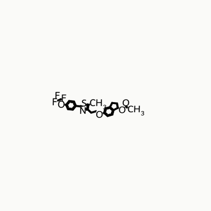 CC(=O)OC1CCc2cc(OCCc3nc(-c4ccc(OC(F)(F)F)cc4)sc3C)ccc21